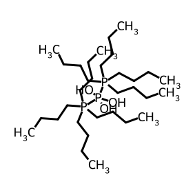 CCCCP(CCCC)(CCCC)(CCCC)P(O)(O)(O)P(CCCC)(CCCC)(CCCC)CCCC